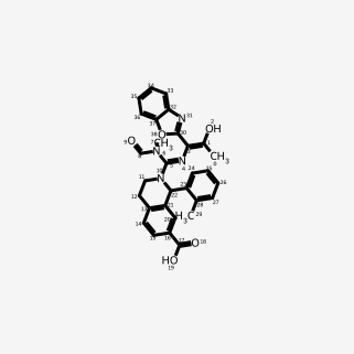 C/C(O)=C(\N=C(/N(C)C=O)N1CCc2ccc(C(=O)O)cc2C1c1ccccc1C)c1nc2ccccc2o1